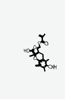 C=C(C)C(=O)OCCC1Cc2c(C)c(O)c(C)c(C)c2OC1(C)C(=O)O